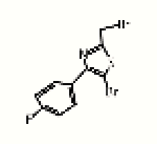 Fc1ccc(-c2nc(CBr)sc2Br)cc1